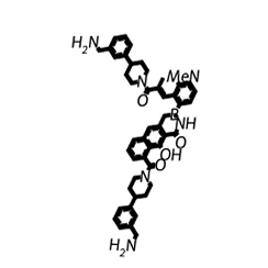 CNc1cccc(B2Cc3cc4cccc(C(=O)N5CCC(c6cccc(CN)c6)CC5)c4c(O)c3C(=O)N2)c1/C=C(\C)C(=O)N1CCC(c2cccc(CN)c2)CC1